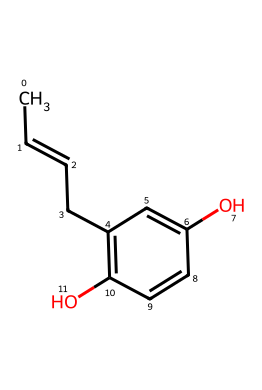 CC=CCc1cc(O)ccc1O